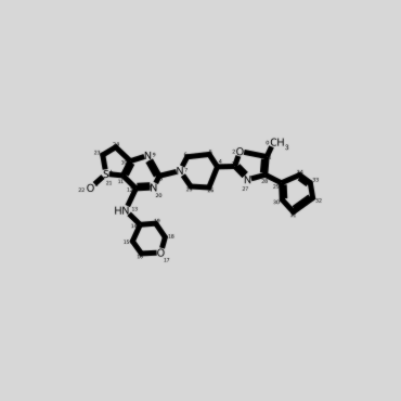 Cc1oc(C2CCN(c3nc4c(c(NC5CCOCC5)n3)[S+]([O-])CC4)CC2)nc1-c1ccccc1